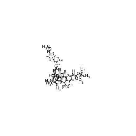 CON=C1CCN(CC2(COc3ncc4cnc(-c5cc(NC(=O)OC(C)(C)C)cc6ccc(F)c(C#C[Si](C(C)C)(C(C)C)C(C)C)c56)c(F)c4n3)CC2)CC1